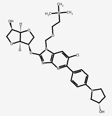 C[Si](C)(C)CCOCn1c(O[C@@H]2CO[C@H]3[C@@H]2OC[C@H]3O)nc2nc(-c3ccc(N4CC[C@H](O)C4)cc3)c(Cl)cc21